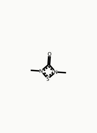 Cn1sn(C)c1=O